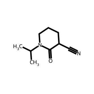 CC(C)N1CCCC(C#N)C1=O